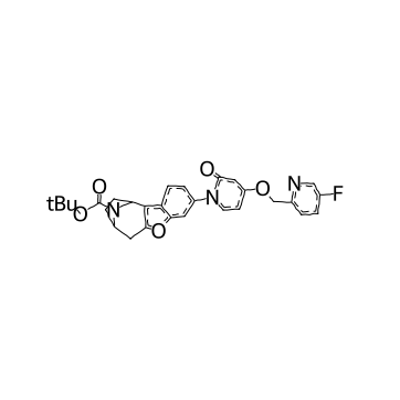 CC(C)(C)OC(=O)N1C2CCC1c1c(oc3cc(-n4ccc(OCc5ccc(F)cn5)cc4=O)ccc13)C2